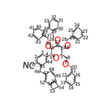 N#Cc1ccc([C@@H]2O[C@H](COCc3ccccc3)[C@@H](OCc3ccccc3)[C@H](OCc3ccccc3)[C@H]2OCc2ccccc2)cc1Cc1ccc2c(c1)CC2